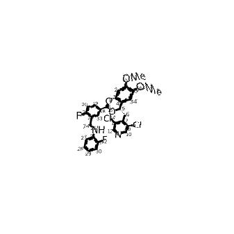 COc1ccc([C@H](Cc2c(Cl)cncc2Cl)OC(=O)c2ccc(F)c(CNc3ccccc3F)c2)cc1OC